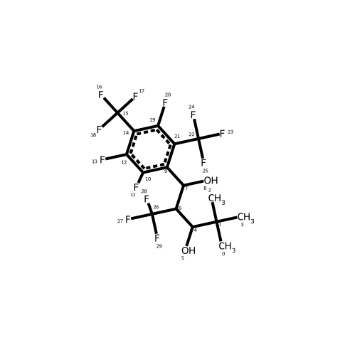 CC(C)(C)C(O)C(C(O)c1c(F)c(F)c(C(F)(F)F)c(F)c1C(F)(F)F)C(F)(F)F